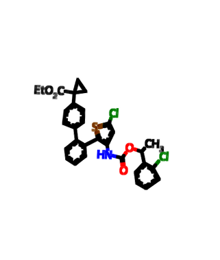 CCOC(=O)C1(c2ccc(-c3ccccc3-c3sc(Cl)cc3NC(=O)OC(C)c3ccccc3Cl)cc2)CC1